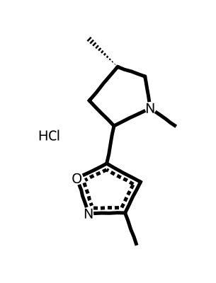 Cc1cc(C2C[C@H](C)CN2C)on1.Cl